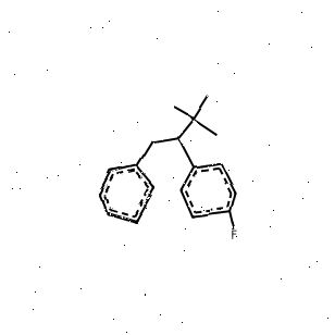 CC(C)(C)[C](Cc1ccccc1)c1ccc(F)cc1